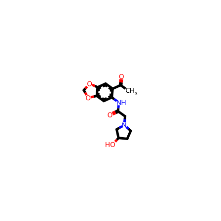 CC(=O)c1cc2c(cc1NC(=O)CN1CCC(O)C1)OCO2